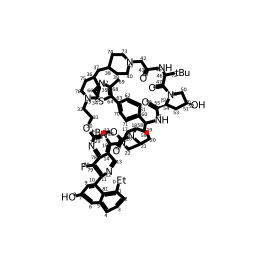 CCc1cccc2cc(O)cc(-c3ncc4c(N5CC6CCC(C5)N6C(=O)OC(C)(C)C)nc(OCCN5CCC(CC6CCN(CC(=O)NC(C(=O)N7C[C@H](O)C[C@H]7C(=O)NC(C)c7ccc(-c8scnc8C)cc7)C(C)(C)C)CC6)CC5)nc4c3F)c12